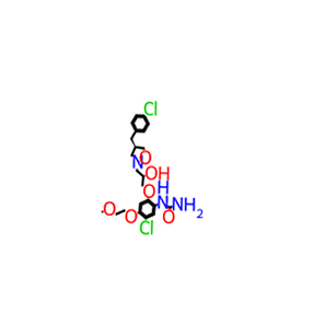 COCCOc1cc(OC[C@@H](O)CN2C[C@@H](Cc3ccc(Cl)cc3)CO2)c(NC(N)=O)cc1Cl